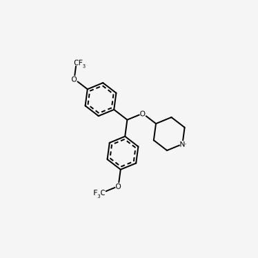 FC(F)(F)Oc1ccc(C(OC2CC[N]CC2)c2ccc(OC(F)(F)F)cc2)cc1